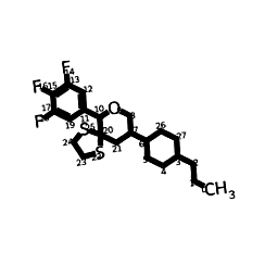 CCCC1CCC(C2COC(c3cc(F)c(F)c(F)c3)C3(C2)SCCS3)CC1